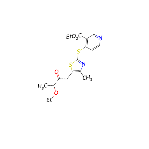 CCOC(=O)c1cnccc1Sc1nc(C)c(CC(=O)C(C)OCC)s1